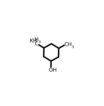 CC1CC(C)CC(O)C1.[KH]